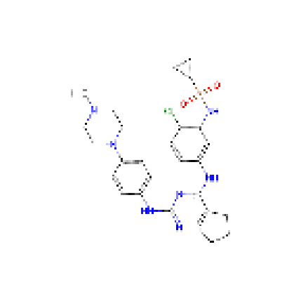 CN1CCN(c2ccc(Nc3nc4c(c(Nc5ccc(Cl)c(NS(=O)(=O)C6CC6)c5)n3)CCC4)cc2)CC1